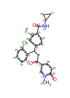 Cn1cc(C(=O)CC(c2ccc(C(=O)NC3CC3)c(F)c2)c2ccccc2Cl)ccc1=O